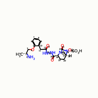 C[C@@H](N)COc1ccccc1CC(=O)NNC(=O)[C@@H]1CC[C@H]2CN1C(=O)N2OS(=O)(=O)O